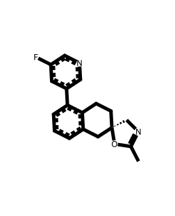 CC1=NC[C@]2(CCc3c(cccc3-c3cncc(F)c3)C2)O1